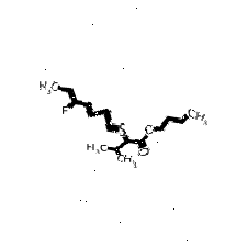 CCCCOC(=O)C(SCCCCC(F)CC)C(C)C